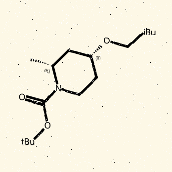 CCC(C)CO[C@@H]1CCN(C(=O)OC(C)(C)C)[C@H](C)C1